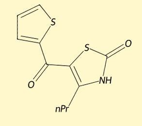 CCCc1[nH]c(=O)sc1C(=O)c1cccs1